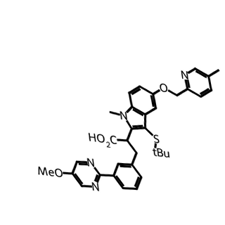 COc1cnc(-c2cccc(CC(C(=O)O)c3c(SC(C)(C)C)c4cc(OCc5ccc(C)cn5)ccc4n3C)c2)nc1